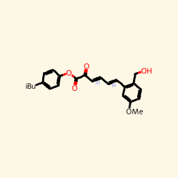 CCC(C)c1ccc(OC(=O)C(=O)/C=C/C=C/c2cc(OC)ccc2CO)cc1